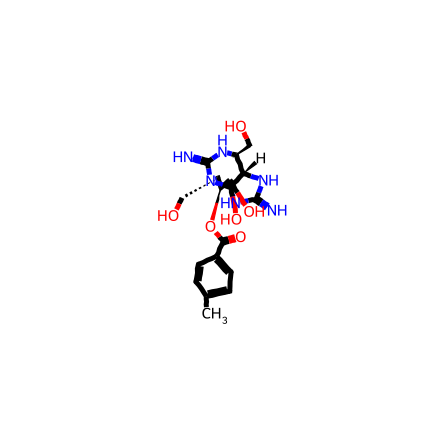 Cc1ccc(C(=O)O[C@H]2[C@@H](CO)N3C(=N)N[C@@H](CO)[C@@H]4NC(=N)N[C@@]43C2(O)O)cc1